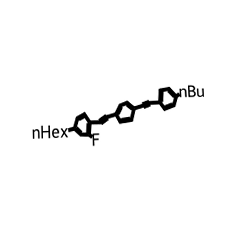 CCCCCCc1ccc(C#Cc2ccc(C#Cc3ccc(CCCC)cc3)cc2)c(F)c1